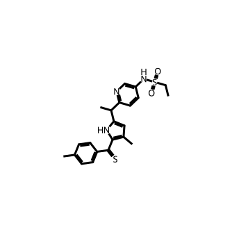 CCS(=O)(=O)Nc1ccc(C(C)c2cc(C)c(C(=S)c3ccc(C)cc3)[nH]2)nc1